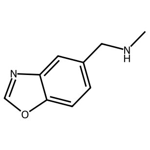 CNCc1ccc2ocnc2c1